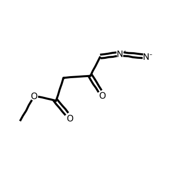 COC(=O)CC(=O)C=[N+]=[N-]